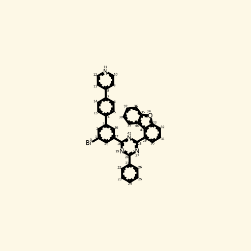 Brc1cc(-c2ccc(-c3ccncc3)cc2)cc(-c2nc(-c3ccccc3)nc(-c3cccc4oc5ccccc5c34)n2)c1